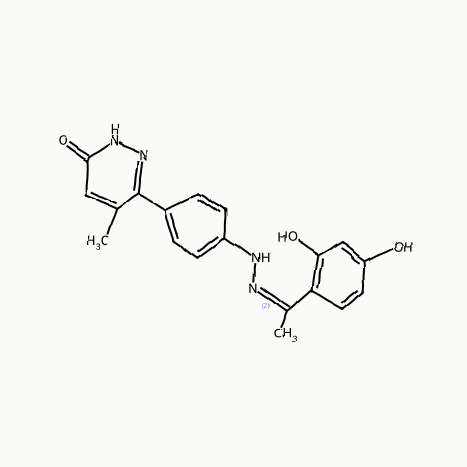 C/C(=N/Nc1ccc(-c2n[nH]c(=O)cc2C)cc1)c1ccc(O)cc1O